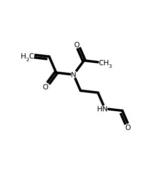 C=CC(=O)N(CCNC=O)C(C)=O